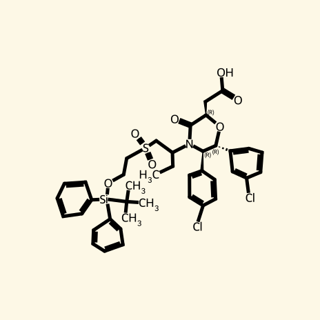 CCC(CS(=O)(=O)CCO[Si](c1ccccc1)(c1ccccc1)C(C)(C)C)N1C(=O)[C@@H](CC(=O)O)O[C@H](c2cccc(Cl)c2)[C@H]1c1ccc(Cl)cc1